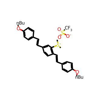 CCCCOc1ccc(C=Cc2ccc(C=Cc3ccc(OCCCC)cc3)c([S+](C)C)c2)cc1.O=S(=O)([O-])C(F)(F)F